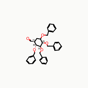 O=C[C@H]1CC(OCc2ccccc2)[C@@H](OCc2ccccc2)[C@@H](OCc2ccccc2)[C@@H]1OCc1ccccc1